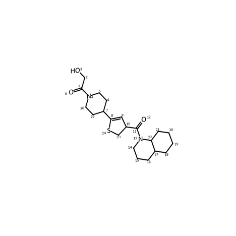 O=C(CO)N1CCC(C2=CC(C(=O)N3CCCC4CCCCC43)CS2)CC1